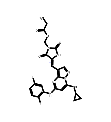 NCC(=O)OCN1C(=O)N/C(=C\c2cnn3c(NC4CC4)cc(Nc4cc(I)ccc4F)nc23)C1=O